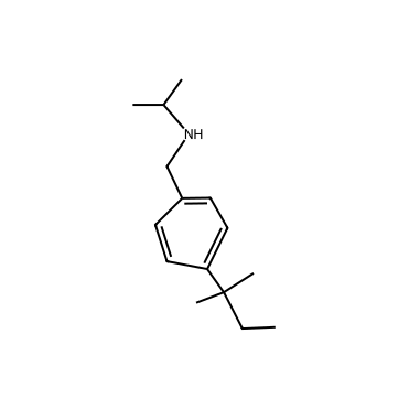 CCC(C)(C)c1ccc(CNC(C)C)cc1